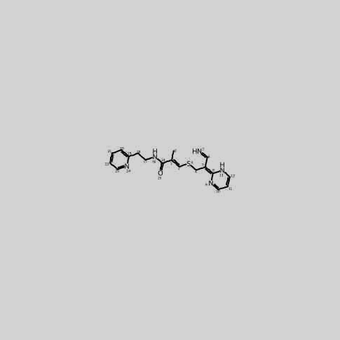 C/C(=C\SC/C(C=N)=C1\N=CC=CN1)C(=O)NCCc1ccccn1